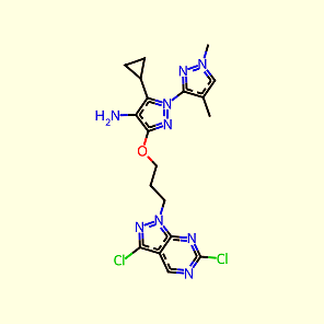 Cc1cn(C)nc1-n1nc(OCCCn2nc(Cl)c3cnc(Cl)nc32)c(N)c1C1CC1